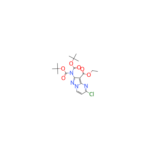 CCOC(=O)c1c(N(C(=O)OC(C)(C)C)C(=O)OC(C)(C)C)nn2ccc(Cl)nc12